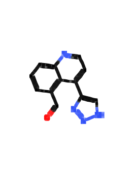 O=Cc1cccc2nccc(-c3c[nH]nn3)c12